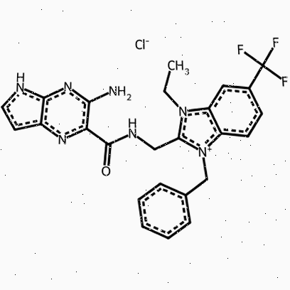 CCn1c(CNC(=O)c2nc3cc[nH]c3nc2N)[n+](Cc2ccccc2)c2ccc(C(F)(F)F)cc21.[Cl-]